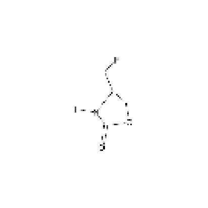 O=C1OCC(CF)N1I